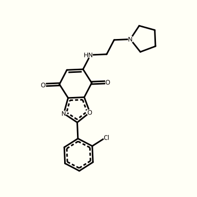 O=C1C=C(NCCN2CCCC2)C(=O)c2oc(-c3ccccc3Cl)nc21